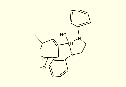 CC(C)/C=C(\CC(=O)O)[PH]1(O)N(c2ccccc2)CCN1c1ccccc1